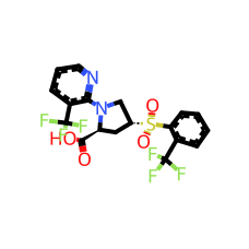 O=C(O)[C@@H]1C[C@@H](S(=O)(=O)c2ccccc2C(F)(F)F)CN1c1ncccc1C(F)(F)F